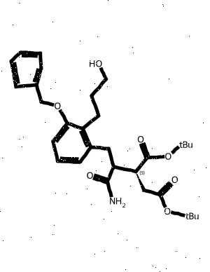 CC(C)(C)OC(=O)C[C@H](C(=O)OC(C)(C)C)C(Cc1cccc(OCc2ccccc2)c1CCCO)C(N)=O